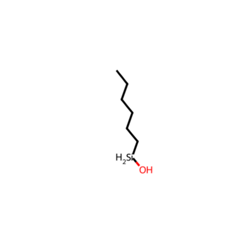 CCCCCC[SiH2]O